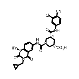 CC(C)n1c(=O)n(CC2CC2)c(=O)c2cc(NC(=O)N3C[C@@H](C(=O)O)C[C@@H](C(=O)Nc4ccc(C#N)c(Cl)c4)C3)ccc21